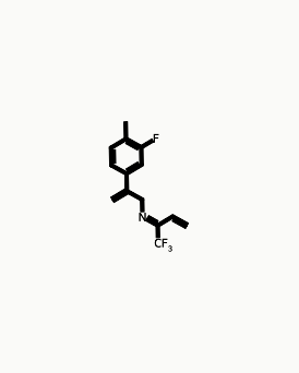 C=C/C(=N\CC(=C)c1ccc(C)c(F)c1)C(F)(F)F